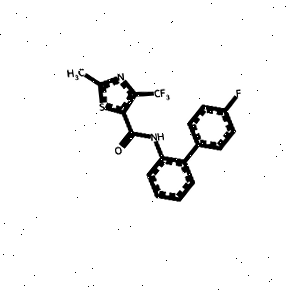 Cc1nc(C(F)(F)F)c(C(=O)Nc2ccccc2-c2ccc(F)cc2)s1